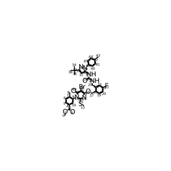 COC(=O)c1ccc(C)c(-n2c(SC)nc(OCc3ccc(F)cc3CNC(=O)Nc3cc(C(C)(C)C)nn3-c3ccc(C)cc3)c(Br)c2=O)c1